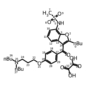 CCCCc1oc2c(NS(C)(=O)=O)cccc2c1C(=O)c1ccc(OCCCN(CCCC)CCCC)cc1.O=C(O)C(=O)O